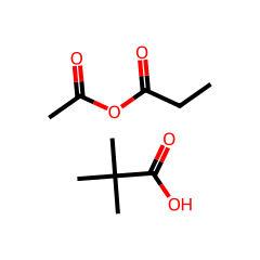 CC(C)(C)C(=O)O.CCC(=O)OC(C)=O